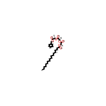 CCCCCCCCCCCCCCCCCC(=O)O[C@@H](C)C(=O)O[C@@H](C)C(=O)O[C@@H](C)C(=O)OCc1ccccc1